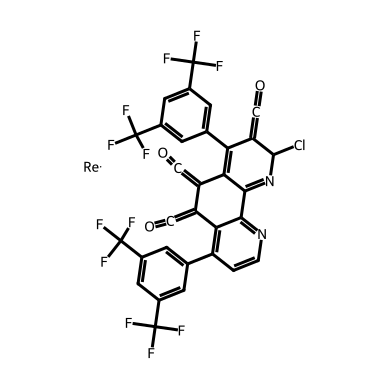 O=C=C1C(c2cc(C(F)(F)F)cc(C(F)(F)F)c2)=c2c(=C=O)c(=C=O)c3c(-c4cc(C(F)(F)F)cc(C(F)(F)F)c4)ccnc3c2=NC1Cl.[Re]